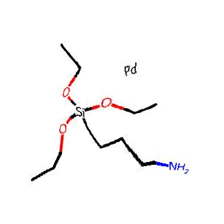 CCO[Si](CCCN)(OCC)OCC.[Pd]